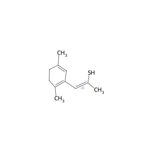 CC1=CC(/C=C(/C)S)=C(C)CC1